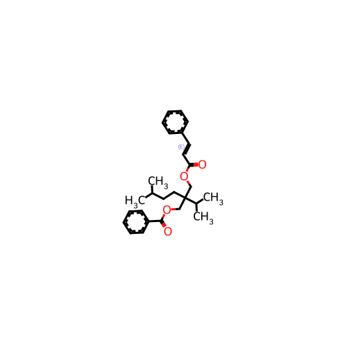 CC(C)CCC(COC(=O)/C=C/c1ccccc1)(COC(=O)c1ccccc1)C(C)C